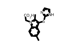 Cc1ccc2c(c1)c(Sc1ncc[nH]1)c(C)n2CC(=O)O